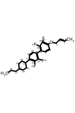 C/C=C/COc1ccc(-c2ccc(C3CCC(CCC)CC3)c(F)c2F)c(F)c1F